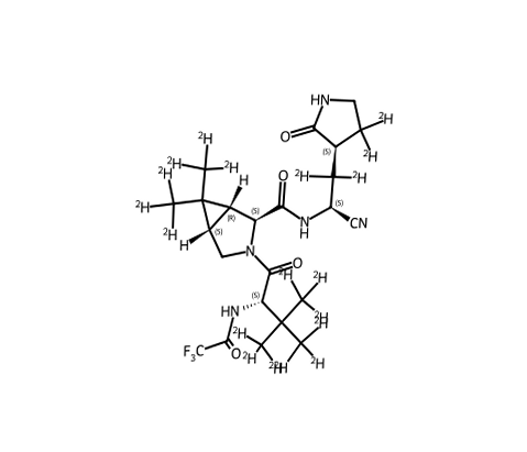 [2H]C1([2H])CNC(=O)[C@@H]1C([2H])([2H])[C@@H](C#N)NC(=O)[C@@H]1[C@@H]2[C@H](CN1C(=O)[C@@H](NC(=O)C(F)(F)F)C(C([2H])([2H])[2H])(C([2H])([2H])[2H])C([2H])([2H])[2H])C2(C([2H])([2H])[2H])C([2H])([2H])[2H]